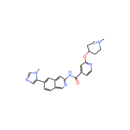 CN1CCC(Oc2cc(C(=O)Nc3cc4cc(-c5cncn5C)ccc4cn3)ccn2)CC1